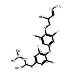 C/N=C/C(O)COc1c(I)cc(Oc2c(I)cc(CC(NB(C)O)C(=O)O)cc2I)cc1I